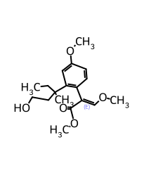 CCC(C)(CCO)c1cc(OC)ccc1/C(=C\OC)C(=O)OC